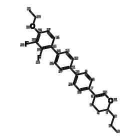 CCCC1CCC(c2ccc(-c3ccc(-c4ccc(OCC)c(F)c4F)cc3)cc2)=CO1